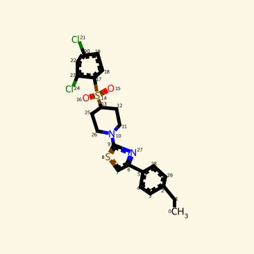 CCc1ccc(-c2csc(N3CCC(S(=O)(=O)c4ccc(Cl)cc4Cl)CC3)n2)cc1